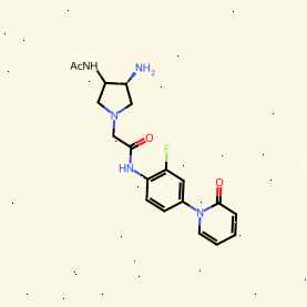 CC(=O)NC1CN(CC(=O)Nc2ccc(-n3ccccc3=O)cc2F)C[C@@H]1N